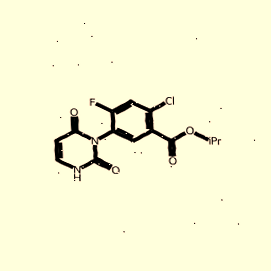 CC(C)OC(=O)c1cc(-n2c(=O)cc[nH]c2=O)c(F)cc1Cl